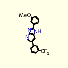 COc1cccc(-c2nc3ncc(-c4cccc(C(F)(F)F)c4)cc3[nH]2)c1